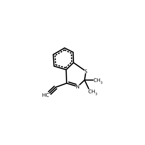 C#CC1=NC(C)(C)Sc2ccccc21